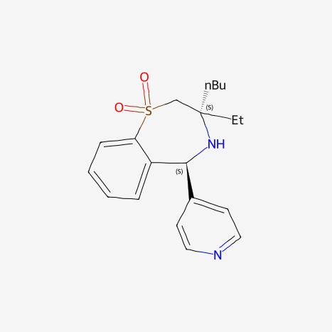 CCCC[C@@]1(CC)CS(=O)(=O)c2ccccc2[C@H](c2ccncc2)N1